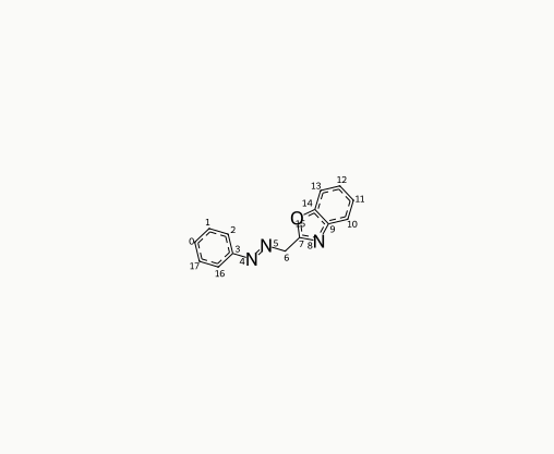 c1ccc(N=NCc2nc3ccccc3o2)cc1